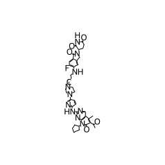 CC(=O)c1c(C)c2cnc(Nc3ccc(N4CCN(CCCNc5cc6c(cc5F)C(=O)N(C5CCC(=O)NC5=O)C6)CC4)cn3)nc2n(C2CCCC2)c1=O